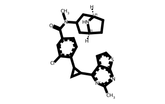 Cc1nc(C2CC2c2ccc(C(=O)N(C)C3C[C@H]4CC[C@@H](C3)N4)cc2Cl)c2ccsc2n1